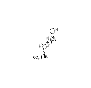 CCN(CCc1cc(F)c(CNc2ncc(C3=CCCNCC3)c3nncn23)c2c1OCC2)CC(=O)O